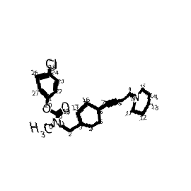 CN(CC1CCC(C#CCN2CCCCC2)CC1)C(=O)Oc1ccc(Cl)cc1